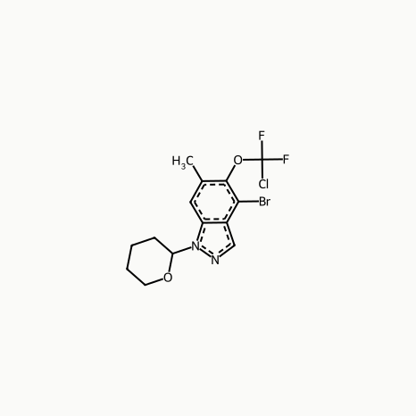 Cc1cc2c(cnn2C2CCCCO2)c(Br)c1OC(F)(F)Cl